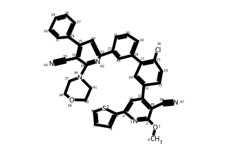 COc1nc(-c2cccs2)cc(-c2ccc(Cl)c(-c3cccc(-c4cc(-c5ccccc5)c(C#N)c(N5CCOCC5)n4)c3)c2)c1C#N